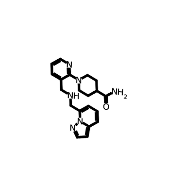 NC(=O)C1CCN(c2ncccc2CNCc2cccc3ccnn23)CC1